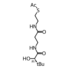 [CH2]C(C)(C)[C@@H](O)C(=O)NCCC(=O)NCCSC(C)=O